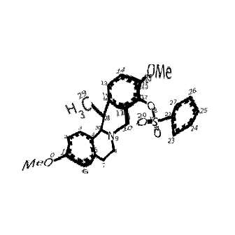 COc1ccc2c(c1)CCN1Cc3c(ccc(OC)c3OS(=O)(=O)c3ccccc3)C(C)C21